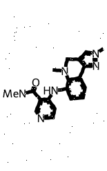 CNC(=O)c1cnccc1Nc1cccc2c1N(C)Cc1cn(C)nc1-2